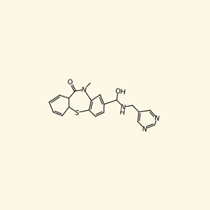 CN1C(=O)C2C=CC=CC2Sc2ccc(C(O)NCc3cncnc3)cc21